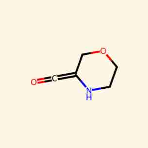 O=C=C1COCCN1